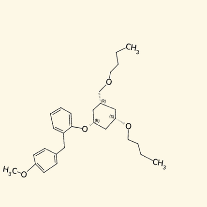 CCCCOC[C@@H]1C[C@H](OCCCC)C[C@H](Oc2ccccc2Cc2ccc(OC)cc2)C1